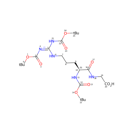 CC(C)(C)OC(=O)/N=C(\NCCC[C@H](NC(=O)OC(C)(C)C)C(=O)NCC(=O)O)NC(=O)OC(C)(C)C